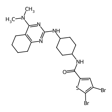 CN(C)c1nc(NC2CCC(NC(=O)c3cc(Br)c(Br)s3)CC2)nc2c1CCCC2